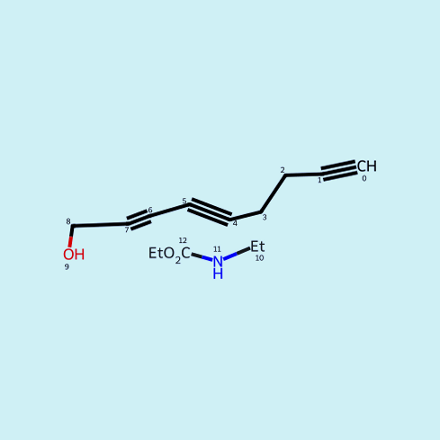 C#CCCC#CC#CCO.CCNC(=O)OCC